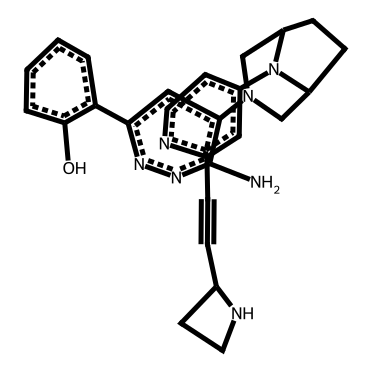 Nc1nnc(-c2ccccc2O)cc1N1CC2CCC(C1)N2c1ccnc(C#CC2CCN2)c1